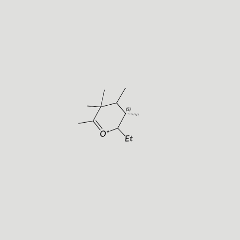 CCC1[O+]=C(C)C(C)(C)C(C)[C@@H]1C